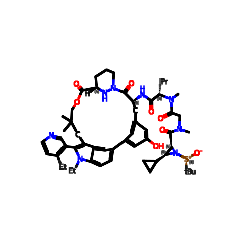 CCc1ccncc1-c1c2c3cc(ccc3n1CC)-c1cc(O)cc(c1)C[C@H](NC(=O)[C@H](C(C)C)N(C)C(=O)CN(C)C(=O)[C@@H]1[C@H](C3CC3)N1[S@@+]([O-])C(C)(C)C)C(=O)N1CCC[C@H](N1)C(=O)OCC(C)(C)C2